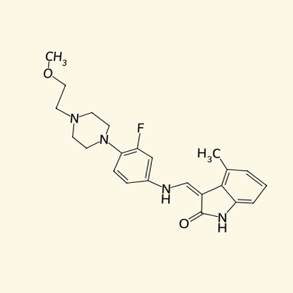 COCCN1CCN(c2ccc(NC=C3C(=O)Nc4cccc(C)c43)cc2F)CC1